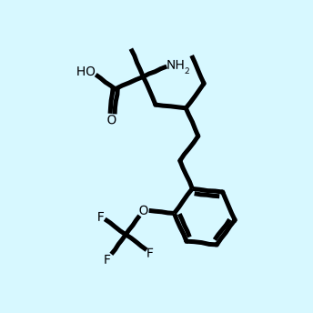 CCC(CCc1ccccc1OC(F)(F)F)CC(C)(N)C(=O)O